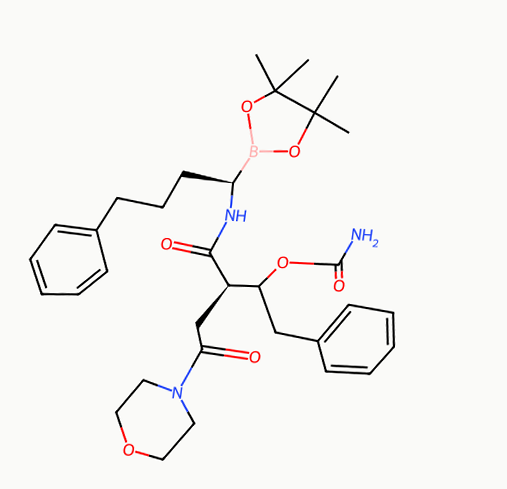 CC1(C)OB([C@H](CCCc2ccccc2)NC(=O)[C@H](CC(=O)N2CCOCC2)C(Cc2ccccc2)OC(N)=O)OC1(C)C